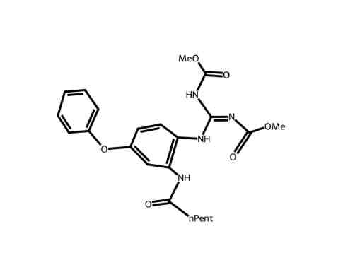 CCCCCC(=O)Nc1cc(Oc2ccccc2)ccc1NC(=NC(=O)OC)NC(=O)OC